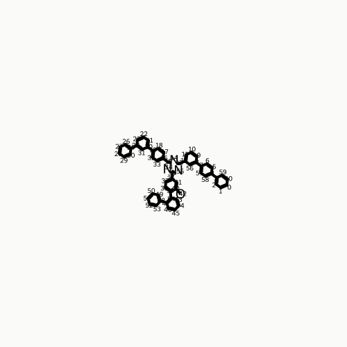 c1ccc(-c2ccc(-c3cccc(-c4nc(-c5ccc(-c6cccc(-c7ccccc7)c6)cc5)nc(-c5ccc6c(c5)oc5cccc(-c7ccccc7)c56)n4)c3)cc2)cc1